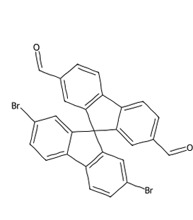 O=Cc1ccc2c(c1)C1(c3cc(Br)ccc3-c3ccc(Br)cc31)c1cc(C=O)ccc1-2